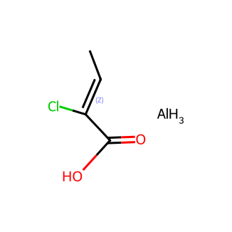 C/C=C(\Cl)C(=O)O.[AlH3]